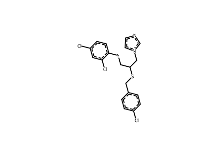 Clc1ccc(CSC(CSc2ccc(Cl)cc2Cl)Cn2ccnc2)cc1